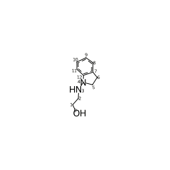 OCCNN1CCc2ccccc21